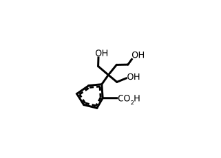 O=C(O)c1ccccc1C(CO)(CO)CCO